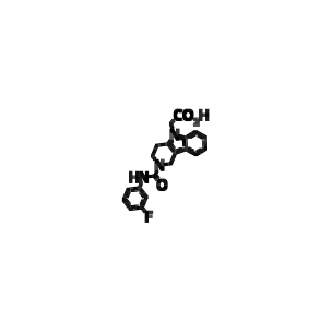 O=C(O)Cn1c2c(c3ccccc31)CN(C(=O)Nc1cccc(F)c1)CC2